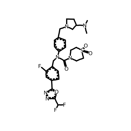 CN(C)C1CCN(Cc2ccc(N(Cc3ccc(-c4nnc(C(F)F)o4)cc3F)C(=O)N3CCS(=O)(=O)CC3)cc2)C1